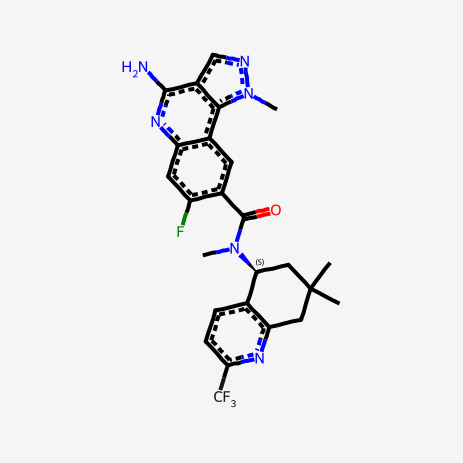 CN(C(=O)c1cc2c(cc1F)nc(N)c1cnn(C)c12)[C@H]1CC(C)(C)Cc2nc(C(F)(F)F)ccc21